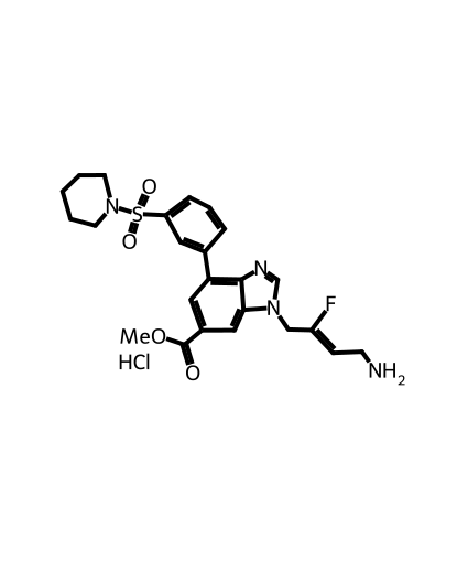 COC(=O)c1cc(-c2cccc(S(=O)(=O)N3CCCCC3)c2)c2ncn(C/C(F)=C/CN)c2c1.Cl